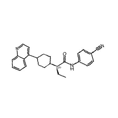 CC[C@H](C(=O)Nc1ccc(C#N)cc1)C1CCC(c2ccnc3ccccc23)CC1